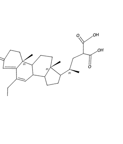 CCC1=CC2C3CCC([C@H](C)CC(C(=O)O)C(=O)O)[C@@]3(C)CCC2[C@@]2(C)CCC(=O)C=C12